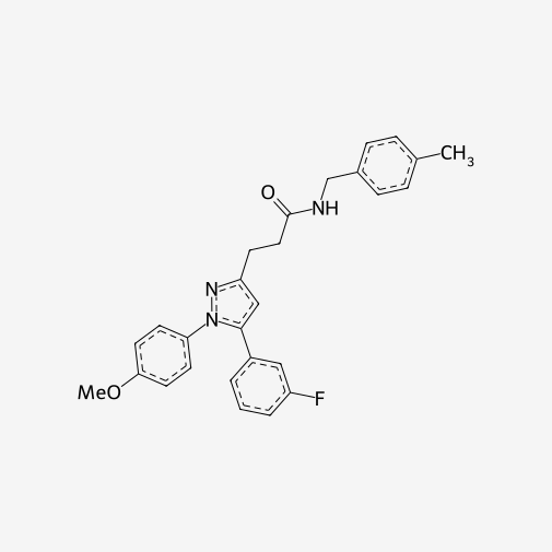 COc1ccc(-n2nc(CCC(=O)NCc3ccc(C)cc3)cc2-c2cccc(F)c2)cc1